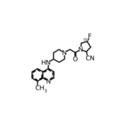 Cc1cccc2c(NC3CCN(CC(=O)N4C[C@@H](F)CC4C#N)CC3)ccnc12